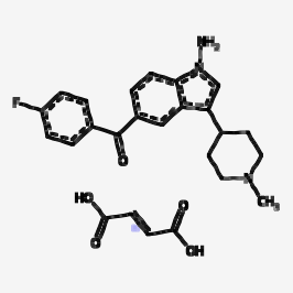 CN1CCC(c2cn(N)c3ccc(C(=O)c4ccc(F)cc4)cc23)CC1.O=C(O)/C=C/C(=O)O